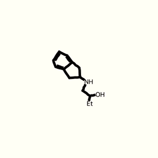 CCC(O)CNC1Cc2ccccc2C1